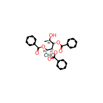 C[C@@H](O)[C@H](OC(=O)c1ccccc1)[C@H](OC(=O)c1ccccc1)[C@H](C=O)OC(=O)c1ccccc1